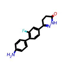 Nc1ccc(-c2ccc(C3=NNC(=O)CC3)cc2F)cc1